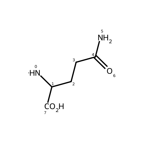 [NH]C(CCC(N)=O)C(=O)O